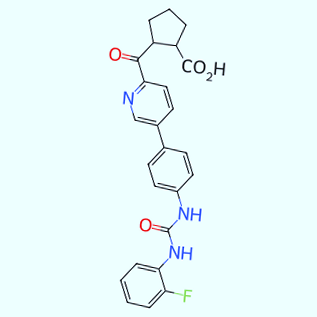 O=C(Nc1ccc(-c2ccc(C(=O)C3CCCC3C(=O)O)nc2)cc1)Nc1ccccc1F